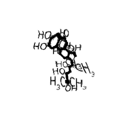 C[C@H](C(O)CC(O)C(C)(C)O)[C@H]1CC[C@@]2(O)C3=CC(=O)[C@@H]4C[C@@H](O)[C@@H](O)C[C@]4(C)[C@H]3CC[C@]12C